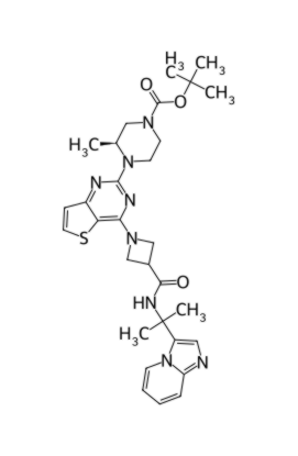 C[C@H]1CN(C(=O)OC(C)(C)C)CCN1c1nc(N2CC(C(=O)NC(C)(C)c3cnc4ccccn34)C2)c2sccc2n1